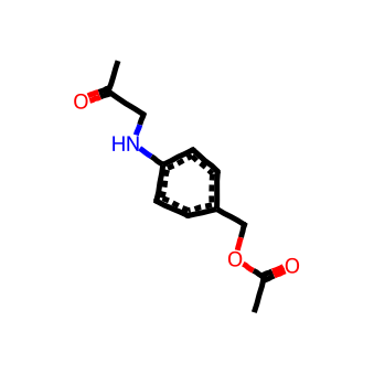 CC(=O)CNc1ccc(COC(C)=O)cc1